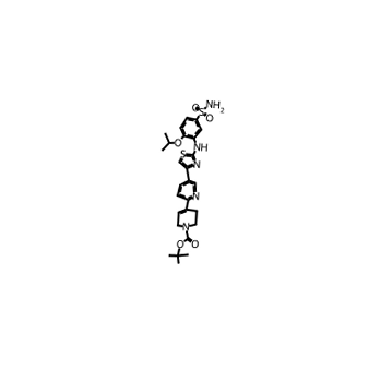 CC(C)Oc1ccc(S(N)(=O)=O)cc1Nc1nc(-c2ccc(C3=CCN(C(=O)OC(C)(C)C)CC3)nc2)cs1